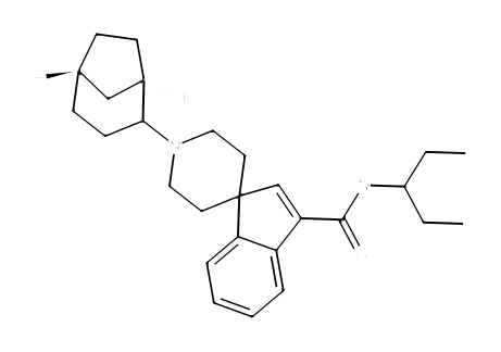 CCC(CC)NC(=O)C1=CC2(CCN(C3CC[C@@H]4CC[C@@H]3C4)CC2)c2ccccc21